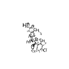 Cc1cc(Cl)cc(Cl)c1S(=O)(=O)Nc1nc(CC(=O)O)c(C)s1